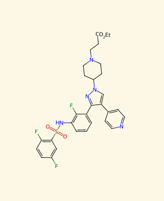 CCOC(=O)CCN1CCC(n2cc(-c3ccncc3)c(-c3cccc(NS(=O)(=O)c4cc(F)ccc4F)c3F)n2)CC1